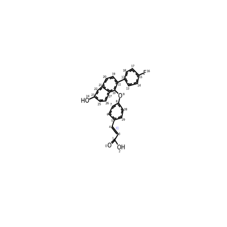 O=C(O)/C=C/c1ccc(Oc2c(-c3ccc(F)cc3)ccc3cc(O)ccc23)cc1